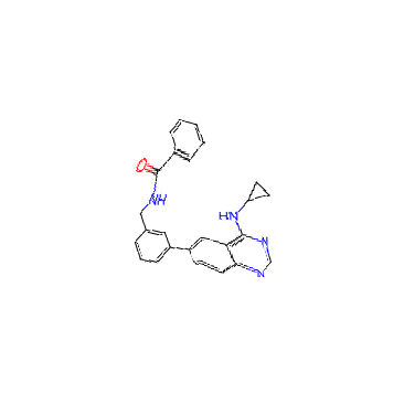 O=C(NCc1cccc(-c2ccc3ncnc(NC4CC4)c3c2)c1)c1ccccc1